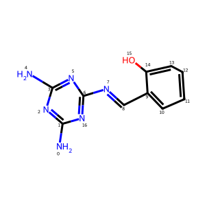 Nc1nc(N)nc(N=Cc2ccccc2O)n1